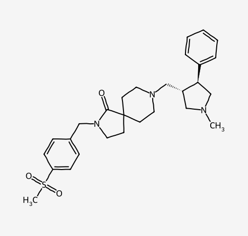 CN1C[C@H](CN2CCC3(CC2)CCN(Cc2ccc(S(C)(=O)=O)cc2)C3=O)[C@@H](c2ccccc2)C1